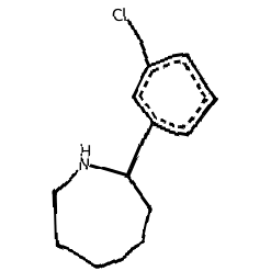 Clc1cccc(C2CCCCCN2)c1